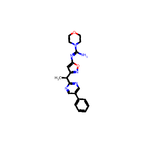 CC(c1cc(/N=C(\N)N2CCOCC2)on1)c1ncc(-c2ccccc2)cn1